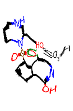 CC1CNCCCN1S(=O)(=O)c1cccc2c(O)ncc(Cl)c12.O=S(=O)(O)O